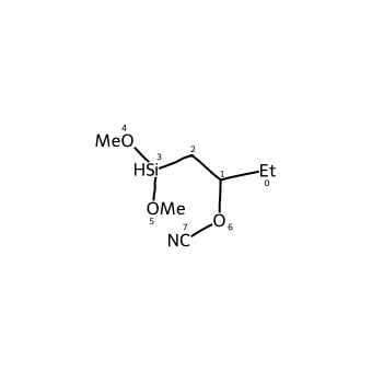 CCC(C[SiH](OC)OC)OC#N